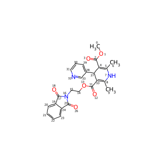 COC(=O)C1=C(C)NC(C)=C(C(=O)OCCN2C(=O)c3ccccc3C2=O)C1c1cccnc1